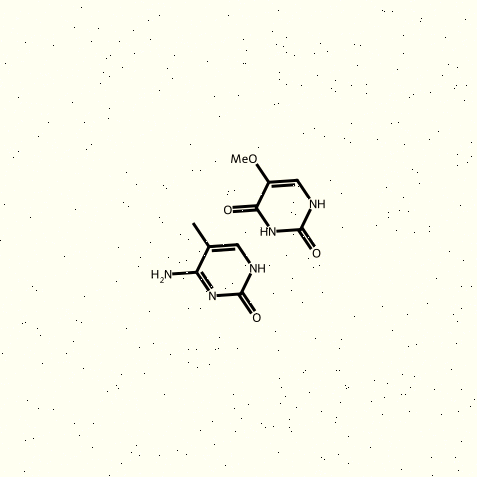 COc1c[nH]c(=O)[nH]c1=O.Cc1c[nH]c(=O)nc1N